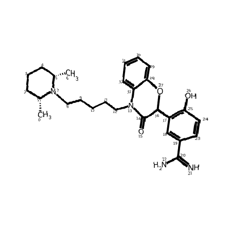 C[C@@H]1CCC[C@H](C)N1CCCCCN1C(=O)C(c2cc(C(=N)N)ccc2O)Oc2ccccc21